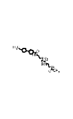 CCc1ccc(-c2ccc(C(=O)NCCNOC(=O)NCCNC(C)=O)cc2)cc1